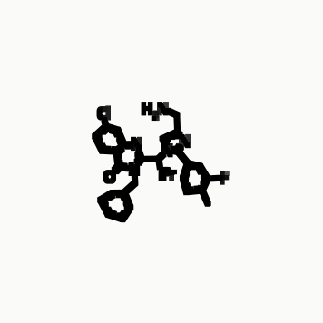 Cc1ccc(-c2nc(CN)cn2C(c2nc3cc(Cl)ccc3c(=O)n2Cc2ccccc2)C(C)C)cc1F